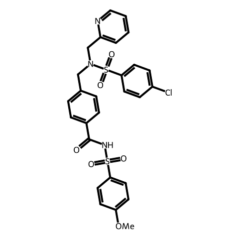 COc1ccc(S(=O)(=O)NC(=O)c2ccc(CN(Cc3ccccn3)S(=O)(=O)c3ccc(Cl)cc3)cc2)cc1